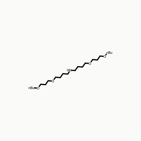 CCCCOCCCOCCCCNCCCCOCCCOCCCC